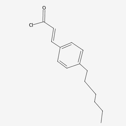 CCCCCCc1ccc(C=CC(=O)Cl)cc1